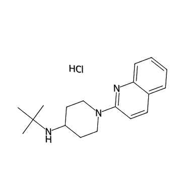 CC(C)(C)NC1CCN(c2ccc3ccccc3n2)CC1.Cl